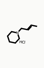 C/C=C/CN1CCCCC1.Cl